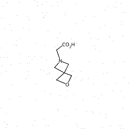 O=C(O)CN1CC2(COC2)C1